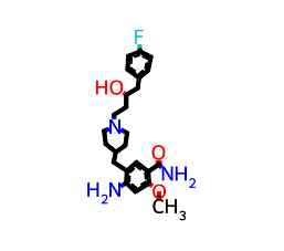 COc1cc(N)c(CC2CCN(CCC(O)Cc3ccc(F)cc3)CC2)cc1C(N)=O